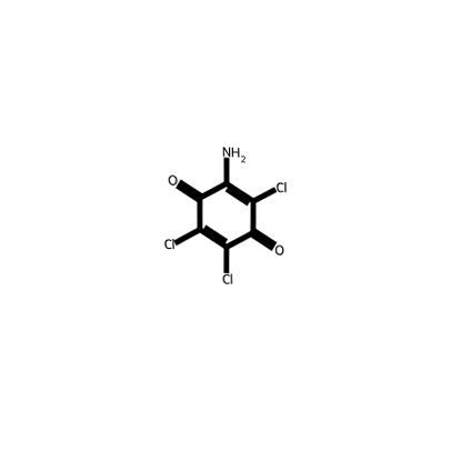 NC1=C(Cl)C(=O)C(Cl)=C(Cl)C1=O